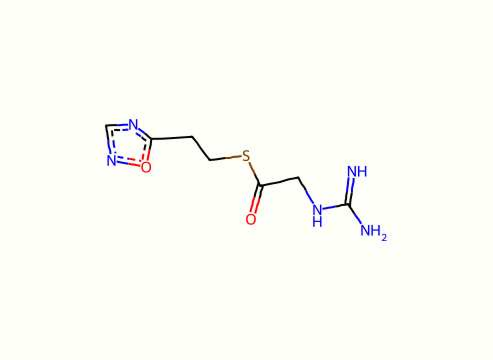 N=C(N)NCC(=O)SCCc1ncno1